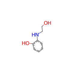 OCCNc1ccccc1O